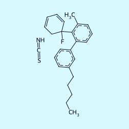 CCCCCc1cccc(-c2cccc(C)c2C2(F)C=CC=CC2)c1.N=C=S